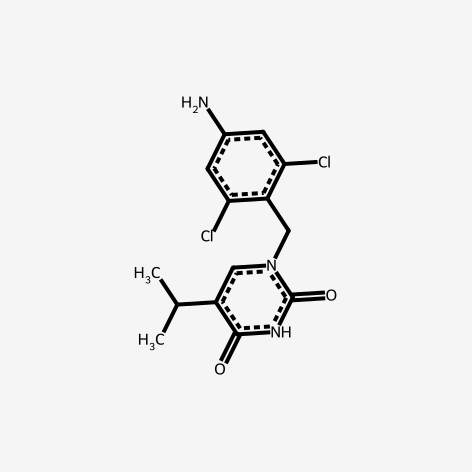 CC(C)c1cn(Cc2c(Cl)cc(N)cc2Cl)c(=O)[nH]c1=O